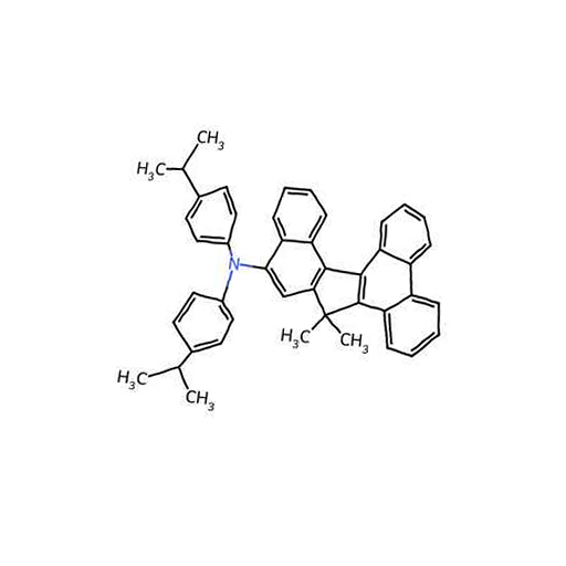 CC(C)c1ccc(N(c2ccc(C(C)C)cc2)c2cc3c(c4ccccc24)-c2c(c4ccccc4c4ccccc24)C3(C)C)cc1